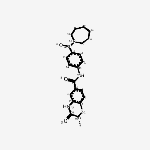 C[C@H]1Sc2ccc(C(=O)Nc3ccc([S+]([O-])N4CCCCCC4)cc3)cc2NC1=O